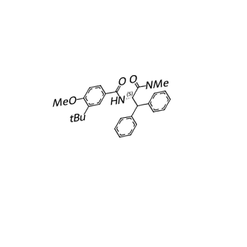 CNC(=O)[C@@H](NC(=O)c1ccc(OC)c(C(C)(C)C)c1)C(c1ccccc1)c1ccccc1